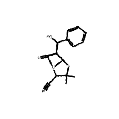 CC1(C)SC2C(C(O)c3ccccc3)C(=O)N2C1C#N